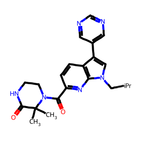 CC(C)Cn1cc(-c2cncnc2)c2ccc(C(=O)N3CCNC(=O)C3(C)C)nc21